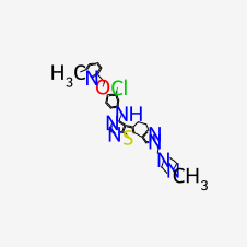 Cc1cccc(COc2ccc(Nc3ncnc4sc5c(c34)CCc3nn(CCN4CCN(C)CC4)cc3-5)cc2Cl)n1